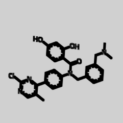 Cc1cnc(Cl)nc1-c1ccc(N(Cc2cccc(CN(C)C)c2)C(=O)c2ccc(O)cc2O)cc1